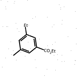 CCOC(=O)c1cc(C)cc(CC)c1